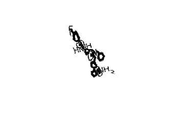 N=C(NC(=O)Oc1ccc(F)cc1)c1cccc(CN(CC2CCCCC2)C(=O)Cc2ccc(-c3ccccc3S(N)(=O)=O)cc2)c1